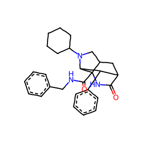 O=C1NC2(C(=O)NCc3ccccc3)C3CC1C(c1ccccc1)C2N(C1CCCCC1)C3